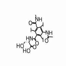 CNC(=O)c1c(I)c(NC(C)=O)c(I)c(C(=O)N[C@@H](CO)C(=O)O)c1I